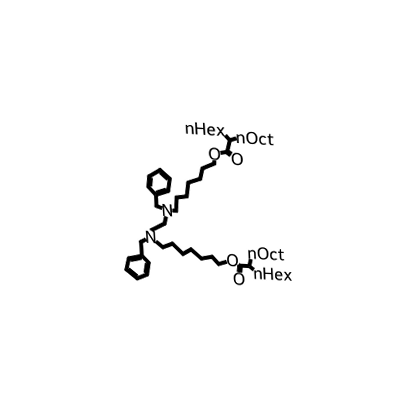 CCCCCCCCC(CCCCCC)C(=O)OCCCCCCCN(CCN(CCCCCCCOC(=O)C(CCCCCC)CCCCCCCC)Cc1ccccc1)Cc1ccccc1